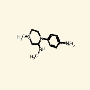 CNC1CN(C)CCN1c1ccc(N)cc1